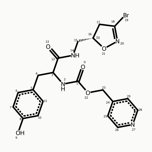 O=C(NC(Cc1ccc(O)cc1)C(=O)NC[C@@H]1CC(Br)=NO1)OCc1ccncc1